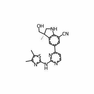 Cc1nc(Nc2nccc(-c3cc(C#N)c4c(c3)[C@@](C)(CO)CN4)n2)sc1C